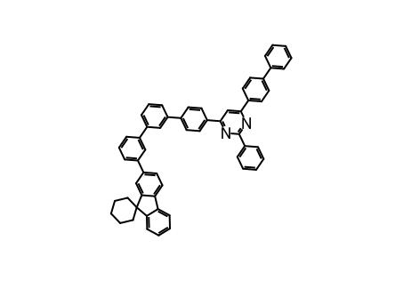 c1ccc(-c2ccc(-c3cc(-c4ccc(-c5cccc(-c6cccc(-c7ccc8c(c7)C7(CCCCC7)c7ccccc7-8)c6)c5)cc4)nc(-c4ccccc4)n3)cc2)cc1